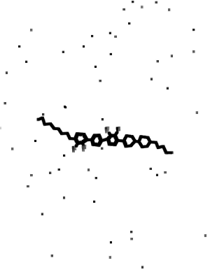 CCCCCCCCCc1ccc(-c2ccc(-c3ccc(C4=CCC(C5CCC(CCCCC)CC5)CC4)c(F)c3F)cc2)c(F)c1F